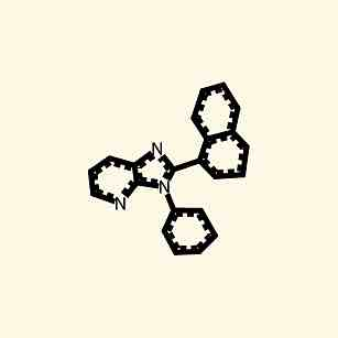 c1ccc(-n2c(-c3cccc4ccccc34)nc3cccnc32)cc1